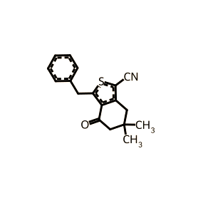 CC1(C)CC(=O)c2c(Cc3ccccc3)sc(C#N)c2C1